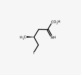 C[C@H](CI)CC(=N)C(=O)O